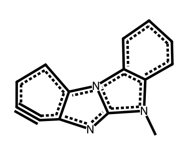 Cn1c2ccccc2n2c3ccc#cc3nc12